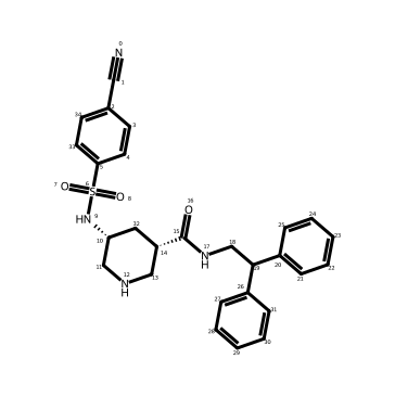 N#Cc1ccc(S(=O)(=O)N[C@H]2CNC[C@@H](C(=O)NCC(c3ccccc3)c3ccccc3)C2)cc1